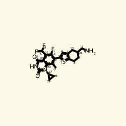 Cc1c(-c2cc3c(s2)CCC(CN)C3)c(F)c(C(F)F)c2c(=O)[nH]c(=O)n(C3CC3)c12